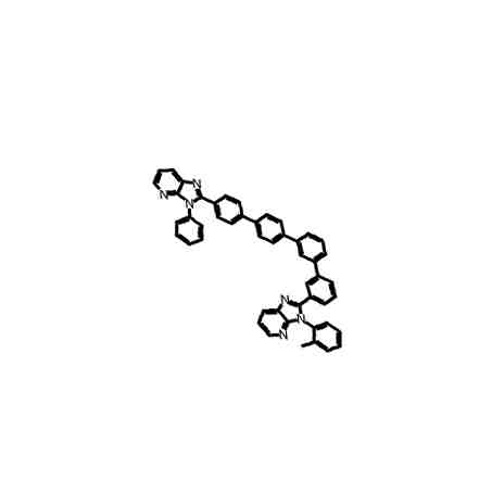 Cc1ccccc1-n1c(-c2cccc(-c3cccc(-c4ccc(-c5ccc(-c6nc7cccnc7n6-c6ccccc6)cc5)cc4)c3)c2)nc2cccnc21